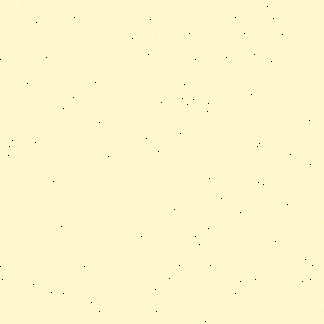 C=C(O)c1ccc2c(c1)C(c1cc(Cl)ccc1F)=CCC2